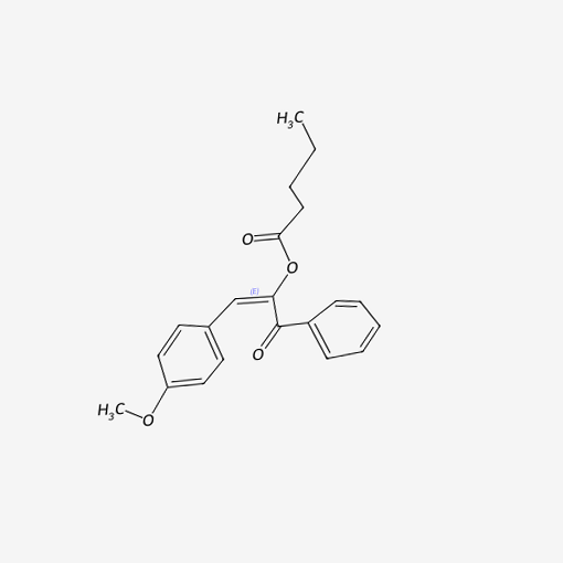 CCCCC(=O)O/C(=C/c1ccc(OC)cc1)C(=O)c1ccccc1